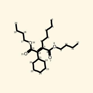 CCCCCC(C(=O)OCCCC)=C(C(=O)OCCCC)C1CCCCC1